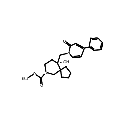 CC(C)(C)OC(=O)N1CC[C@@](O)(Cn2ccc(-c3ccccc3)cc2=O)C2(CCCC2)C1